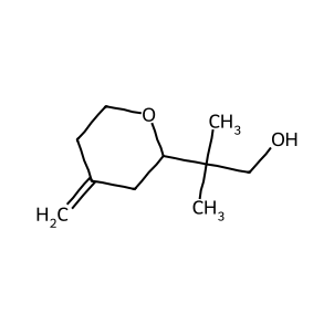 C=C1CCOC(C(C)(C)CO)C1